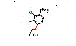 CCCCCc1ccc(OCC(=O)O)c(Cl)c1Cl